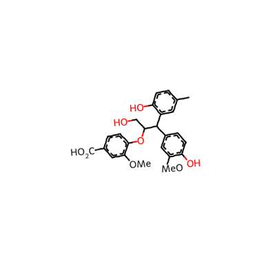 COc1cc(C(c2cc(C)ccc2O)C(CO)Oc2ccc(C(=O)O)cc2OC)ccc1O